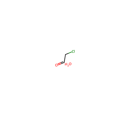 O.O=CCCl